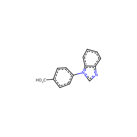 O=C(O)c1ccc(-n2cnc3ccccc32)cc1